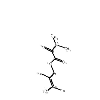 CN(C)C(=O)C(=O)OC/C(F)=C(\F)C(F)(F)F